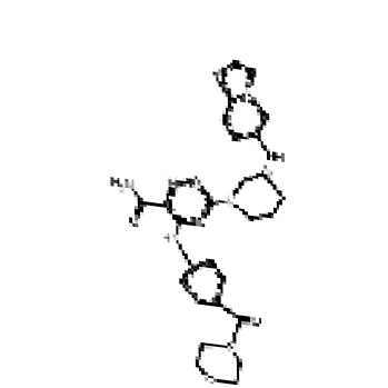 NC(=O)c1nnc(N2CCC[C@@H](Nc3ccc4nccn4c3)C2)nc1Nc1ccc(C(=O)N2CCOCC2)cc1